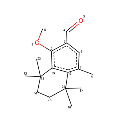 COc1c(C=O)cc(C)c2c1C(C)(C)CCC2(C)C